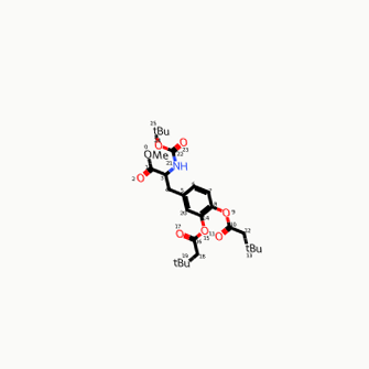 COC(=O)C(Cc1ccc(OC(=O)CC(C)(C)C)c(OC(=O)CC(C)(C)C)c1)NC(=O)OC(C)(C)C